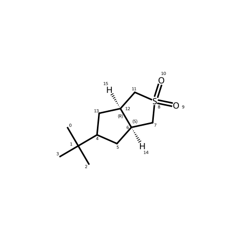 CC(C)(C)C1C[C@@H]2CS(=O)(=O)C[C@@H]2C1